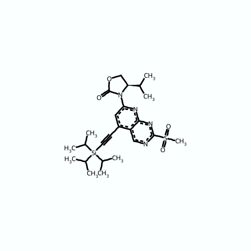 CC(C)[C@@H]1COC(=O)N1c1cc(C#C[Si](C(C)C)(C(C)C)C(C)C)c2cnc(S(C)(=O)=O)nc2n1